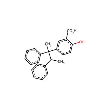 CC(c1ccccc1)C(C)(c1ccccc1)c1ccc(O)c(C(=O)O)c1